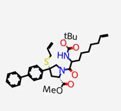 C=CCCCCCC(NC(=O)OC(C)(C)C)C(=O)N1C[C@](SCC=C)(c2ccc(-c3ccccc3)cc2)C[C@H]1C(=O)OC